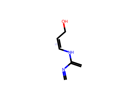 C=NC(=C)N/C=C\CO